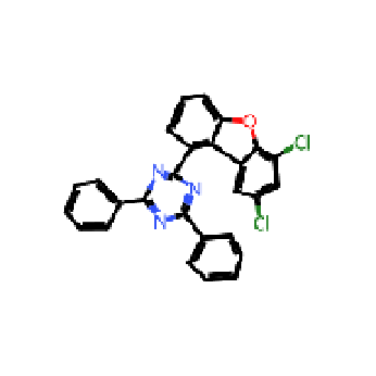 Clc1cc(Cl)c2oc3cccc(-c4nc(-c5ccccc5)nc(-c5ccccc5)n4)c3c2c1